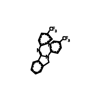 FC(F)(F)c1ccc(/N=C2/c3ccccc3CN2c2ccc(C(F)(F)F)cn2)cc1